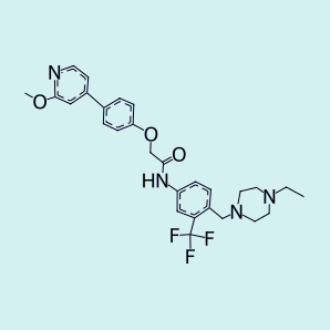 CCN1CCN(Cc2ccc(NC(=O)COc3ccc(-c4ccnc(OC)c4)cc3)cc2C(F)(F)F)CC1